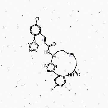 O=C(/C=C/c1cc(Cl)ccc1-n1cnnn1)N[C@H]1CC/C=C/CCC(=O)Nc2ccc(F)cc2-c2c[nH]c1n2